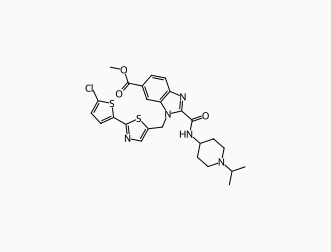 COC(=O)c1ccc2nc(C(=O)NC3CCN(C(C)C)CC3)n(Cc3cnc(-c4ccc(Cl)s4)s3)c2c1